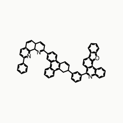 C1=CC2C=Cc3ccc(-c4ccccc4)nc3C2N=C1c1ccc2c3c(c4ccccc4c2c1)CC(c1cccc(-c2nc4ccccc4c4c2ccc2c5ccccc5oc24)c1)C=C3